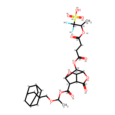 CC(OCC12CC3CC(CC(C3)C1)C2)OC(=O)C1C2OC3C(OC(=O)C31)C2OC(=O)CCC(=O)OC(C)C(F)(F)S(=O)(=O)O